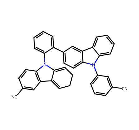 N#Cc1cccc(-n2c3ccccc3c3cc(-c4ccccc4-n4c5c(c6cc(C#N)ccc64)=CCCC=5)ccc32)c1